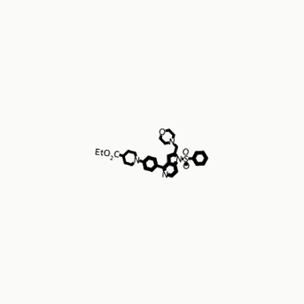 CCOC(=O)C1CCN(c2ccc(-c3nccc4c3cc(CN3CCOCC3)n4S(=O)(=O)c3ccccc3)cc2)CC1